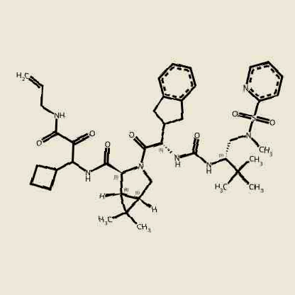 C=CCNC(=O)C(=O)C(NC(=O)[C@@H]1[C@@H]2[C@H](CN1C(=O)[C@@H](NC(=O)N[C@H](CN(C)S(=O)(=O)c1ccccn1)C(C)(C)C)C1Cc3ccccc3C1)C2(C)C)C1CCC1